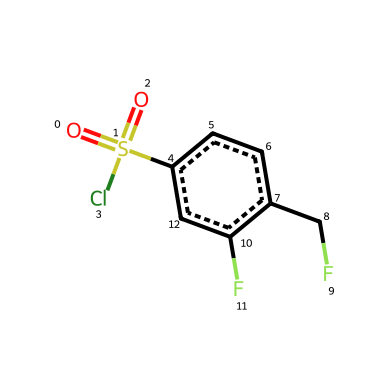 O=S(=O)(Cl)c1ccc(CF)c(F)c1